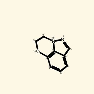 c1cc2c3c(c1)cnn3CCO2